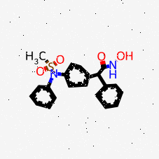 CS(=O)(=O)N(c1ccccc1)c1ccc(C(C(=O)NO)c2ccccc2)cc1